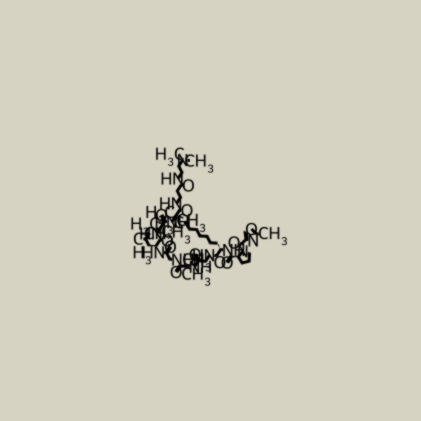 CCCCCCCC[C@H](NC(=O)[C@@H]1CCCN1C(=O)c1coc(C)n1)C(=O)NCC(=O)NC(C)(C)C(=O)NCC(=O)N[C@@H](CC(C)C)C(=O)NC(C)(C)C(=O)NC(C)(C)C(=O)NCCC(=O)NCCN(C)C